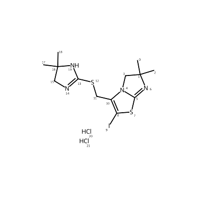 CC1(C)CN2C(=N1)SC(I)=C2CSC1=NCC(C)(C)N1.Cl.Cl